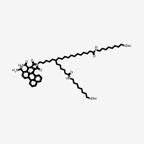 CCCCCCCCCCCCCCCCCCNC(=O)CCCCCCCCCCCC(CCCCCC(=O)NCCCCCCCCCCCCCCCCCC)CCCCCn1c(=O)c2c(C(N)=O)c3c(C(N)=O)ccc4c5cccc6cccc(c65)c(c2c1=O)c34